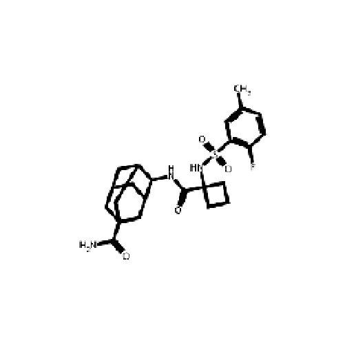 Cc1ccc(F)c(S(=O)(=O)NC2(C(=O)NC3C4CC5CC3CC(C(N)=O)(C5)C4)CCC2)c1